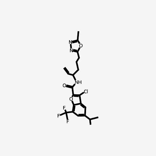 C=CC(CCCc1nnc(C)o1)NC(=O)c1oc2c(C(F)(F)F)cc(C(C)C)cc2c1Cl